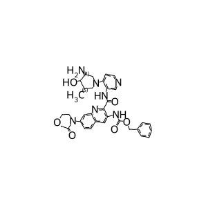 C[C@H]1CN(c2ccncc2NC(=O)c2nc3cc(N4CCOCC4=O)ccc3cc2NC(=O)OCc2ccccc2)C[C@@H](N)C1O